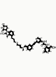 CN(CCCOCCCc1cccc2c1N(C)C(O)N2C1CCC(=O)NC1=O)Cc1cccc(C#Cc2cc(NC(=O)Nc3cc(F)ncc3CO)ccn2)c1